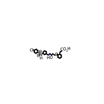 O=C(O)CCc1ccccc1OCCC(O)/C=C/c1cccc(NS(=O)(=O)c2ccc(Cl)cc2)c1